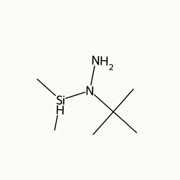 C[SiH](C)N(N)C(C)(C)C